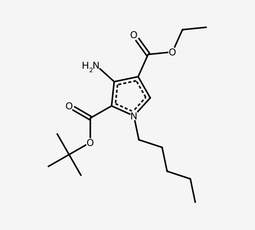 CCCCCn1cc(C(=O)OCC)c(N)c1C(=O)OC(C)(C)C